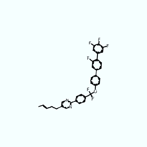 C/C=C/CCc1cnc(-c2ccc(C(F)(F)Oc3ccc(-c4ccc(-c5cc(F)c(F)c(F)c5)c(F)c4)cc3)cc2)nc1